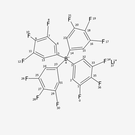 Fc1cc([B-](c2cc(F)c(F)c(F)c2)(c2cc(F)c(F)c(F)c2)c2cc(F)c(F)c(F)c2)cc(F)c1F.[Li+]